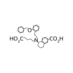 O=C(O)CCCCN(CCc1ccccc1OCc1ccccc1)C1CCCc2cc(C(=O)O)ccc21